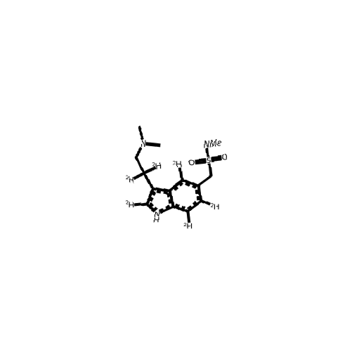 [2H]c1[nH]c2c([2H])c([2H])c(CS(=O)(=O)NC)c([2H])c2c1C([2H])([2H])CN(C)C